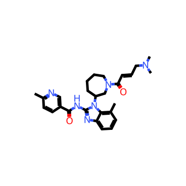 Cc1ccc(C(=O)Nc2nc3cccc(C)c3n2C2CCCCN(C(=O)C=CCN(C)C)C2)cn1